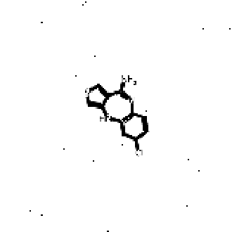 NC1=NC2=C(CC(Cl)C=C2)Nc2cscc21